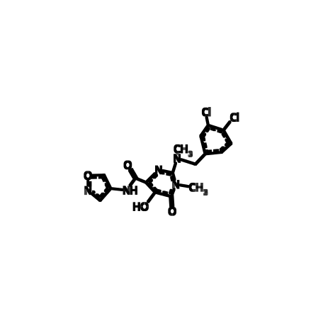 CN(Cc1ccc(Cl)c(Cl)c1)c1nc(C(=O)Nc2cnoc2)c(O)c(=O)n1C